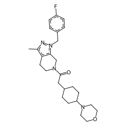 Cc1nn(Cc2ccc(F)cc2)c2c1CCN(C(=O)CC1CCC(N3CCOCC3)CC1)C2